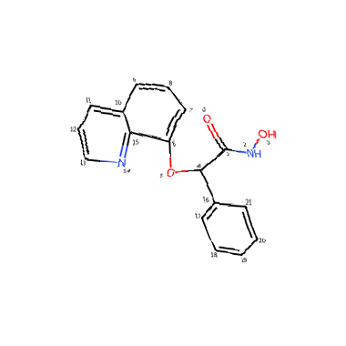 O=C(NO)C(Oc1cccc2cccnc12)c1ccccc1